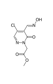 COC(=O)Cn1ncc(Cl)c(C=NO)c1=O